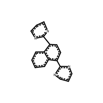 c1cnc(-c2ccc(-c3ncccn3)c3ccccc23)nc1